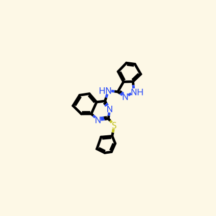 c1ccc(Sc2nc(Nc3n[nH]c4ccccc34)c3ccccc3n2)cc1